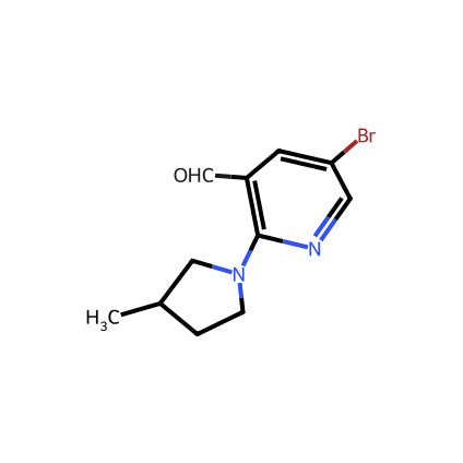 CC1CCN(c2ncc(Br)cc2C=O)C1